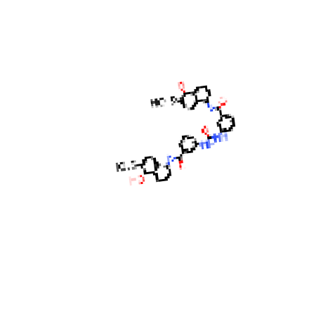 O=C(Nc1cccc(C(=O)N=C2C=CC=C3C2=CC=C(S(=O)(=O)O)C3O)c1)Nc1cccc(C(=O)N=C2C=CC=C3C2=CC=C(S(=O)(=O)O)C3O)c1